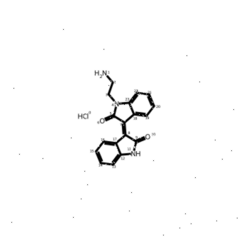 Cl.NCCN1C(=O)/C(=C2/C(=O)Nc3ccccc32)c2ccccc21